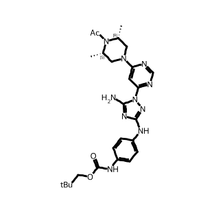 CC(=O)N1[C@H](C)CN(c2cc(-n3nc(Nc4ccc(NC(=O)OCC(C)(C)C)cc4)nc3N)ncn2)C[C@@H]1C